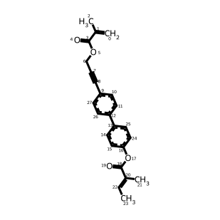 C=C(C)C(=O)OCC#Cc1ccc(-c2ccc(OC(=O)/C(C)=C/C)cc2)cc1